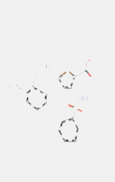 COc1ccccc1N.O=C(O)c1sccc1NS(=O)(=O)c1ccccc1